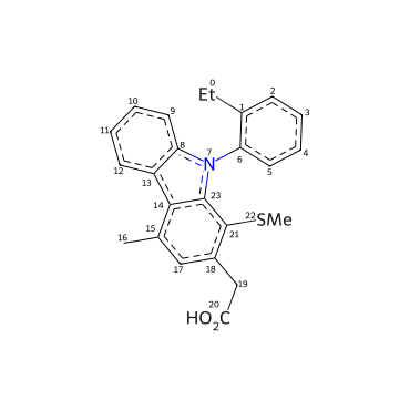 CCc1ccccc1-n1c2ccccc2c2c(C)cc(CC(=O)O)c(SC)c21